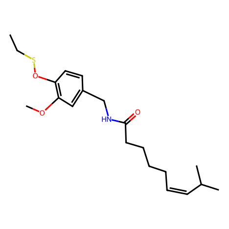 CCSOc1ccc(CNC(=O)CCCC/C=C\C(C)C)cc1OC